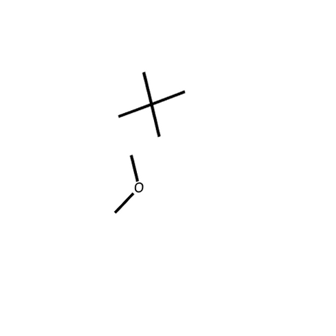 CC(C)(C)C.COC